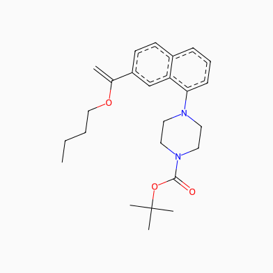 C=C(OCCCC)c1ccc2cccc(N3CCN(C(=O)OC(C)(C)C)CC3)c2c1